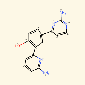 Nc1cccc(-c2cc(-c3ccnc(N)n3)ccc2O)n1